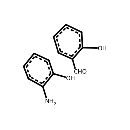 Nc1ccccc1O.O=Cc1ccccc1O